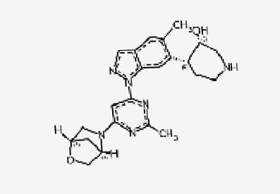 Cc1nc(N2C[C@@H]3C[C@H]2CO3)cc(-n2ncc3cc(C)c([C@H]4CCNC[C@H]4O)cc32)n1